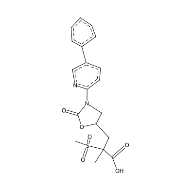 CC(CC1CN(c2ccc(-c3ccccc3)cn2)C(=O)O1)(C(=O)O)S(C)(=O)=O